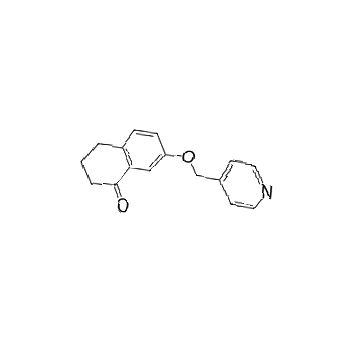 O=C1CCCc2ccc(OCc3ccncc3)cc21